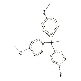 COc1ccc(C(C)(c2ccc(F)cc2)c2ccc(OC)cc2)cc1